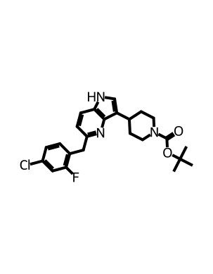 CC(C)(C)OC(=O)N1CCC(c2c[nH]c3ccc(Cc4ccc(Cl)cc4F)nc23)CC1